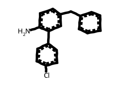 Nc1ccc(Cc2ccccc2)cc1-c1ccc(Cl)cc1